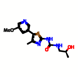 COc1cncc(-c2sc(NC(=O)NC[C@H](C)O)nc2C)c1